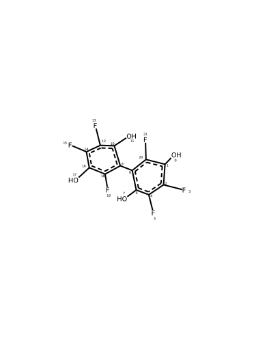 Oc1c(F)c(F)c(O)c(-c2c(O)c(F)c(F)c(O)c2F)c1F